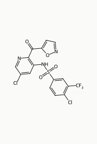 O=C(c1ccno1)c1ncc(Cl)cc1NS(=O)(=O)c1ccc(Cl)c(C(F)(F)F)c1